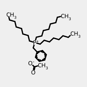 CC(=O)[O-].CCCCCCCC[P+](CCCCCCCC)(CCCCCCCC)Cc1ccccc1